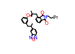 C/C(=C\Oc1cccc(CC(C)c2ccc3nonc3c2)c1)Cc1cccc2c1C(=O)N(CCC(C)C)C2=O